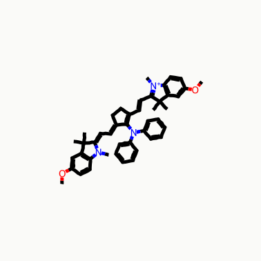 COc1ccc2c(c1)C(C)(C)C(=CC=C1CCC(C=CC3=[N+](C)c4ccc(OC)cc4C3(C)C)=C1N(c1ccccc1)c1ccccc1)N2C